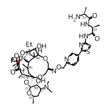 CCC(=O)/N=C1\[C@H](C)C[C@@]2(C)OC/C(=N/OCc3ccc(-c4nc(NC(=O)[C@H](C)NC(=O)[C@H](C)N)cs4)cn3)CO[C@H]([C@H]1C)[C@](C)(O)[C@@H](CC)OC(=O)[C@@](C)(F)C(=O)[C@H](C)[C@H]2O[C@@H]1O[C@H](C)C[C@H](N(C)C)[C@H]1O